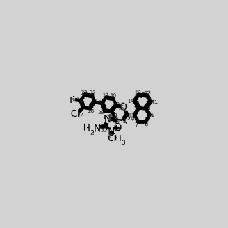 CN1O[C@@]2(C[C@@H](C3CCCc4ccccc43)Oc3ccc(-c4ccc(F)c(Cl)c4)cc32)N=C1N